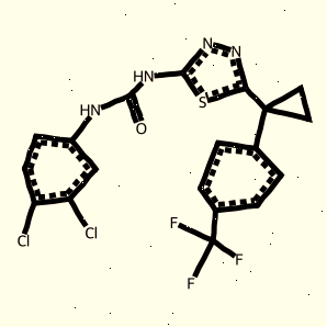 O=C(Nc1ccc(Cl)c(Cl)c1)Nc1nnc(C2(c3ccc(C(F)(F)F)cc3)CC2)s1